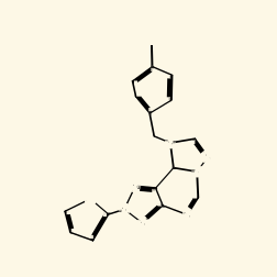 Fc1ccc(CN2C=NN3C=Nc4nn(-c5ccco5)nc4C23)cc1